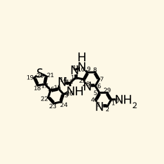 Nc1cncc(-c2ccc3[nH]nc(-c4nc5c(-c6ccsc6)cccc5[nH]4)c3n2)c1